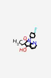 CCc1c(O)c2cccnc2n(-c2ccc(F)cc2)c1=O